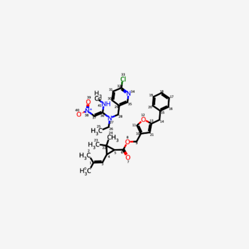 CC(C)=CC1C(C(=O)OCc2coc(Cc3ccccc3)c2)C1(C)C.CCN(Cc1ccc(Cl)nc1)/C(=C/[N+](=O)[O-])NC